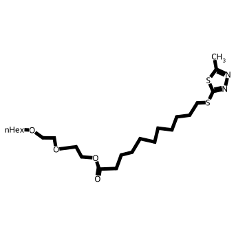 CCCCCCOCCOCCOC(=O)CCCCCCCCCCSc1nnc(C)s1